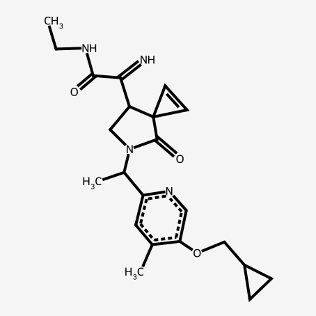 CCNC(=O)C(=N)C1CN(C(C)c2cc(C)c(OCC3CC3)cn2)C(=O)C12C=C2